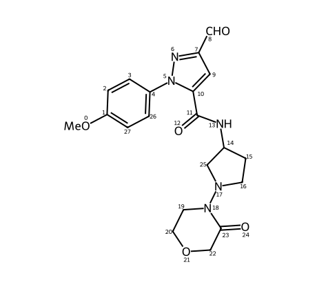 COc1ccc(-n2nc(C=O)cc2C(=O)NC2CCN(N3CCOCC3=O)C2)cc1